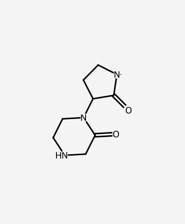 O=C1[N]CCC1N1CCNCC1=O